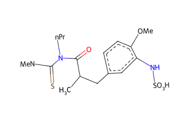 CCCN(C(=O)C(C)Cc1ccc(OC)c(NS(=O)(=O)O)c1)C(=S)NC